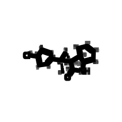 C[C@]1(c2ccc(Cl)cc2)C[C@]12C(=O)Nc1ccccc12